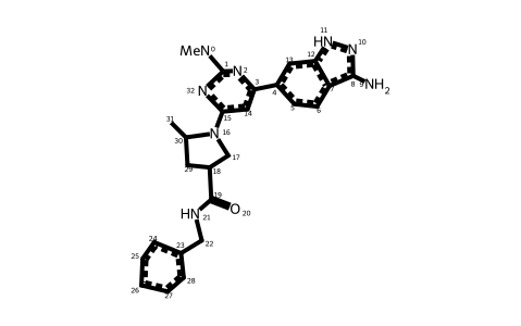 CNc1nc(-c2ccc3c(N)n[nH]c3c2)cc(N2CC(C(=O)NCc3ccccc3)CC2C)n1